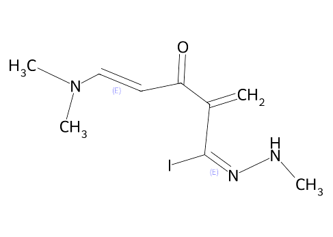 C=C(C(=O)/C=C/N(C)C)/C(I)=N\NC